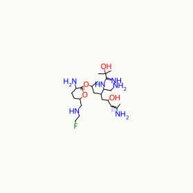 C/C(N)=C\C(O)CC(CC(C)O[C@H]1OC(CNCCF)CCC1N)C(CN)NC(=N)C(C)(C)O